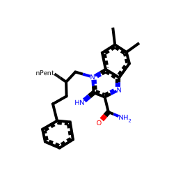 CCCCCC(CCc1ccccc1)Cn1c(=N)c(C(N)=O)nc2cc(C)c(C)cc21